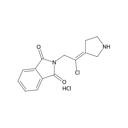 Cl.O=C1c2ccccc2C(=O)N1CC(Cl)=C1CCNC1